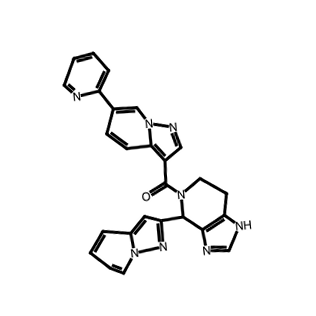 O=C(c1cnn2cc(-c3ccccn3)ccc12)N1CCc2[nH]cnc2C1c1cc2ccccn2n1